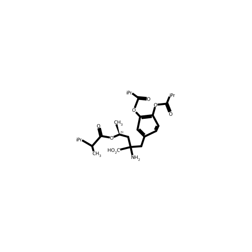 CC(C)C(=O)Oc1ccc(CC(N)(C[C@H](C)OC(=O)C(C)C(C)C)C(=O)O)cc1OC(=O)C(C)C